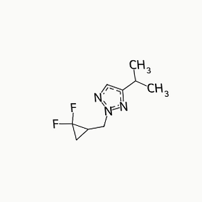 CC(C)c1cnn(CC2CC2(F)F)n1